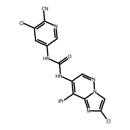 CC(C)c1c(NC(=O)Nc2cnc(C#N)c(Cl)c2)cnn2cc(Cl)nc12